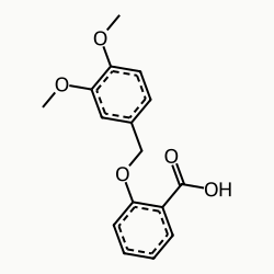 COc1ccc(COc2ccccc2C(=O)O)cc1OC